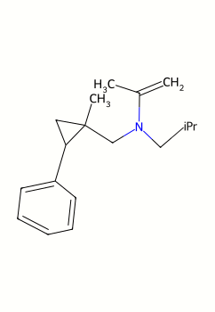 C=C(C)N(CC(C)C)CC1(C)CC1c1ccccc1